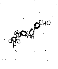 O=Cc1ccc(N2CCC(O)(c3ccc4c(c3)CN(C3CCC(=O)NC3=O)C4=O)CC2)cc1